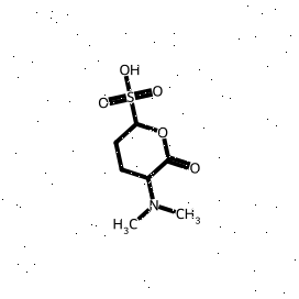 CN(C)C1CCC(S(=O)(=O)O)OC1=O